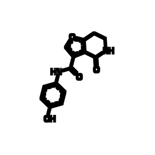 O=C(Nc1ccc(O)cc1)c1coc2c1C(=O)NCC2